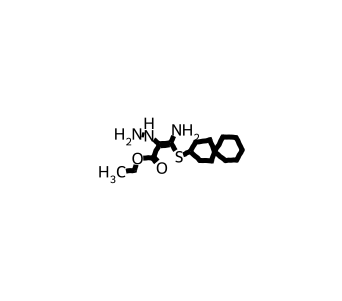 CCOC(=O)/C(NN)=C(/N)SC1CCC2(CCCCC2)CC1